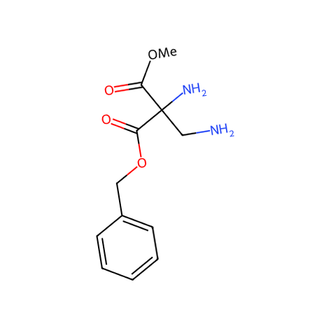 COC(=O)C(N)(CN)C(=O)OCc1ccccc1